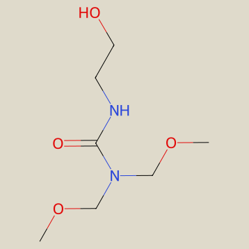 COCN(COC)C(=O)NCCO